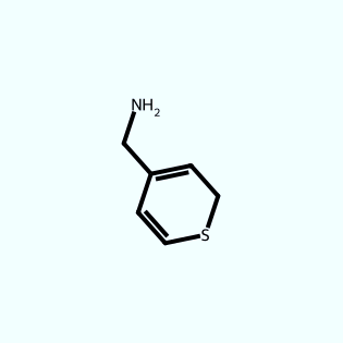 NCC1=CCSC=C1